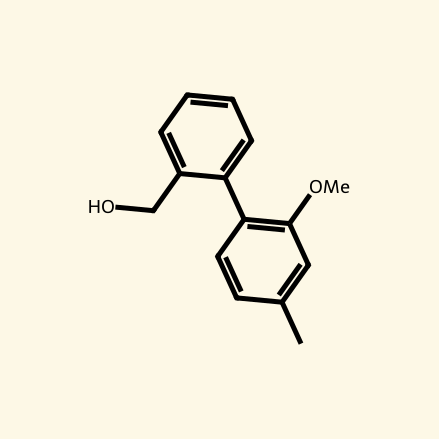 COc1cc(C)ccc1-c1ccccc1CO